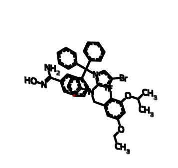 CCOc1cc(CN(c2ccc(C(N)=NO)cc2)c2nc(Br)cn2C(c2ccccc2)(c2ccccc2)c2ccccc2)c(F)c(OC(C)C)c1